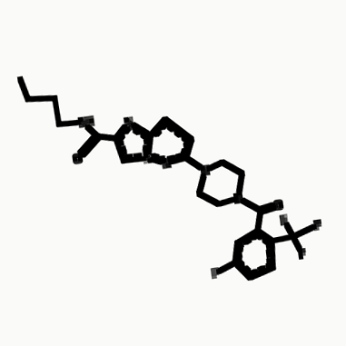 CCCCNC(=O)c1cn2nc(N3CCN(C(=O)c4cc(F)ccc4C(F)(F)F)CC3)ccc2n1